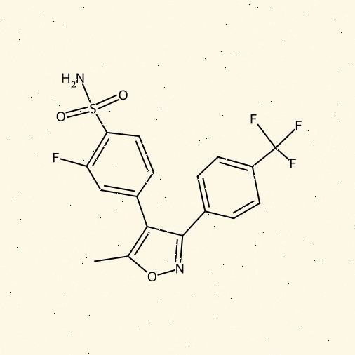 Cc1onc(-c2ccc(C(F)(F)F)cc2)c1-c1ccc(S(N)(=O)=O)c(F)c1